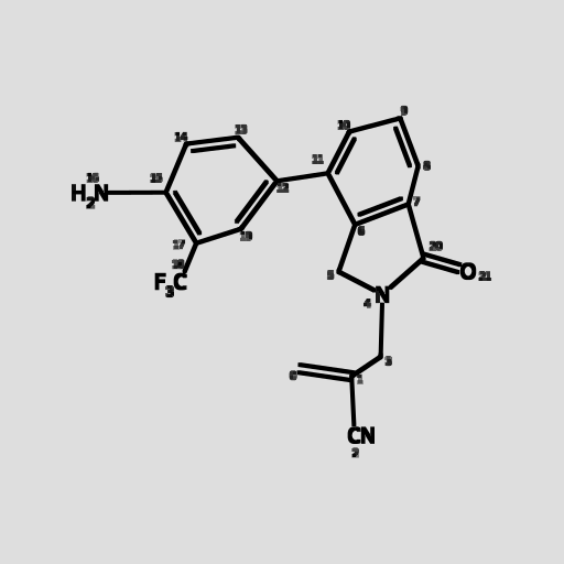 C=C(C#N)CN1Cc2c(cccc2-c2ccc(N)c(C(F)(F)F)c2)C1=O